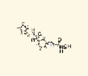 O=C(/C=C/c1cccc(S(=O)(=O)NCc2ccco2)c1)NO